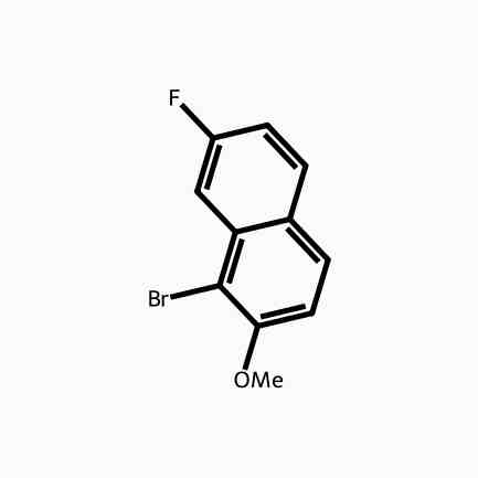 COc1ccc2ccc(F)cc2c1Br